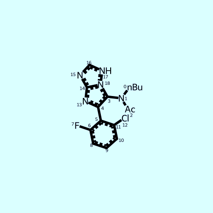 CCCCN(C(C)=O)c1c(-c2c(F)cccc2Cl)nc2nc[nH]n12